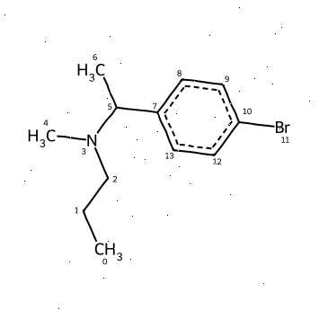 CCCN(C)C(C)c1ccc(Br)cc1